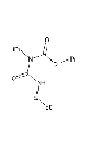 CCSNC(=O)N(C(=O)OC(C)C)C(C)C